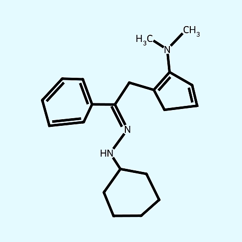 CN(C)C1=C(CC(=NNC2CCCCC2)c2ccccc2)CC=C1